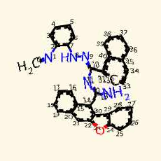 C=Nc1ccccc1N/N=C(\N=C(/N)c1c2ccccc2cc2oc3ccccc3c12)c1cccc2ccccc12